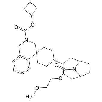 COCCOC(=O)N1C2CCC(N3CCC4(CC3)CN(C(=O)OC3CCC3)Cc3ccccc34)CC1CC2